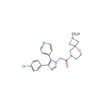 O=C(O)N1CC2(C1)CN(C(=O)Cn1cnc(-c3ccc(Cl)cc3)c1-c1ccncc1)CCO2